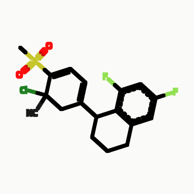 CS(=O)(=O)C1=CC=C(C2CCCc3cc(F)cc(F)c32)CC1(Cl)C#N